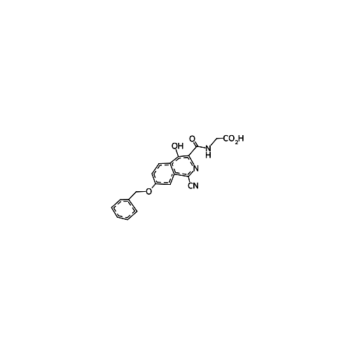 N#Cc1nc(C(=O)NCC(=O)O)c(O)c2ccc(OCc3ccccc3)cc12